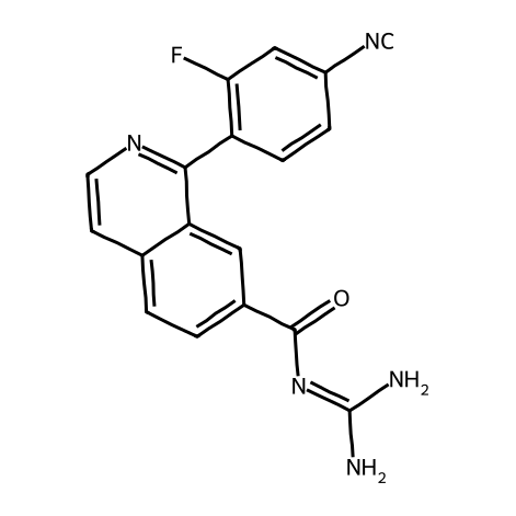 [C-]#[N+]c1ccc(-c2nccc3ccc(C(=O)N=C(N)N)cc23)c(F)c1